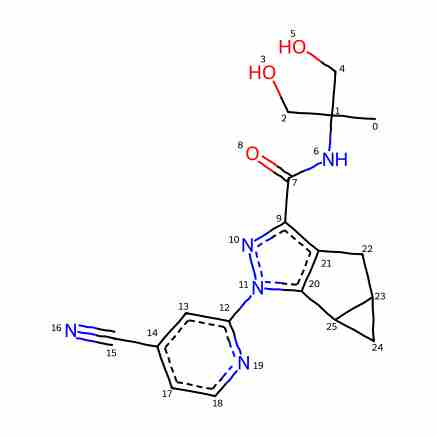 CC(CO)(CO)NC(=O)c1nn(-c2cc(C#N)ccn2)c2c1CC1CC21